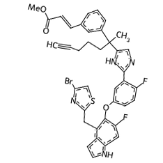 C#CCCCC(C)(c1cccc(/C=C/C(=O)OC)c1)c1cnc(-c2cc(Oc3c(F)cc4[nH]ccc4c3Cc3nc(Br)cs3)ccc2F)[nH]1